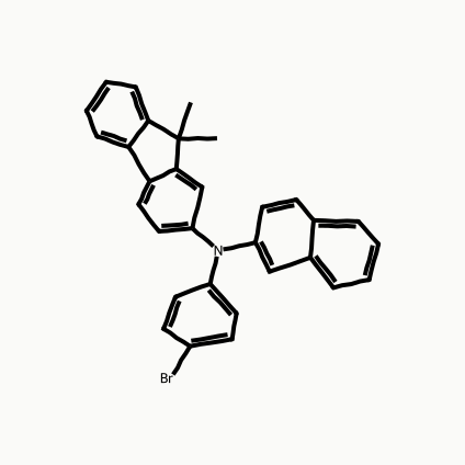 CC1(C)c2ccccc2-c2ccc(N(c3ccc(Br)cc3)c3ccc4ccccc4c3)cc21